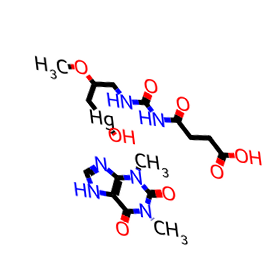 COC(CNC(=O)NC(=O)CCC(=O)O)[CH2][Hg][OH].Cn1c(=O)c2[nH]cnc2n(C)c1=O